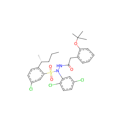 CCC[C@@H](C)c1ccc(Cl)cc1S(=O)(=O)N(NC(=O)Cc1ccccc1OC(C)(C)C)c1cc(Cl)ccc1Cl